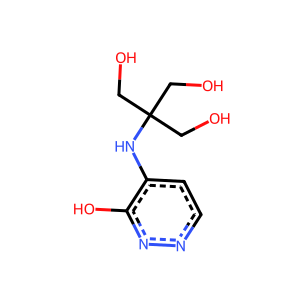 OCC(CO)(CO)Nc1ccnnc1O